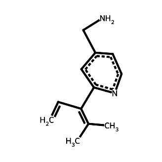 C=CC(=C(C)C)c1cc(CN)ccn1